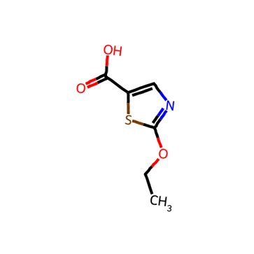 CCOc1ncc(C(=O)O)s1